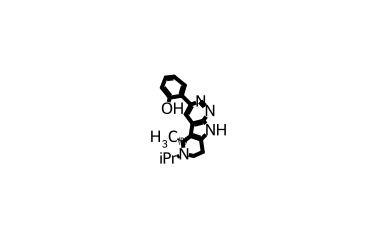 CC(C)N1CCc2[nH]c3nnc(-c4ccccc4O)cc3c2[C@H]1C